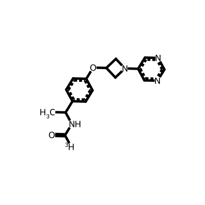 [3H]C(=O)NC(C)c1ccc(OC2CN(c3cncnc3)C2)cc1